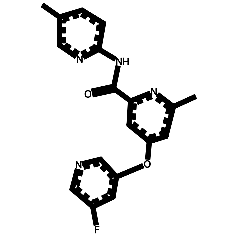 Cc1ccc(NC(=O)c2cc(Oc3cncc(F)c3)cc(C)n2)nc1